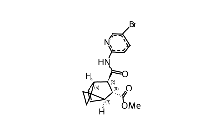 COC(=O)[C@H]1[C@H](C(=O)Nc2ccc(Br)cn2)[C@@H]2C=C[C@H]1C21CC1